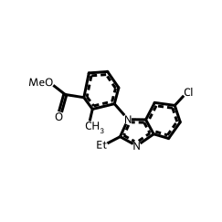 CCc1nc2ccc(Cl)cc2n1-c1cccc(C(=O)OC)c1C